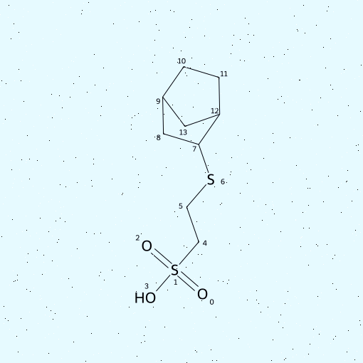 O=S(=O)(O)CCSC1CC2CCC1C2